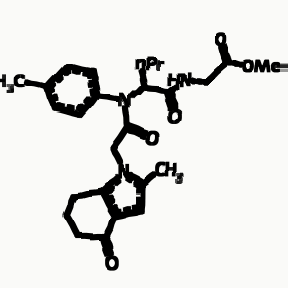 CCCC(C(=O)NCC(=O)OC)N(C(=O)Cn1c(C)cc2c1CCCC2=O)c1ccc(C)cc1